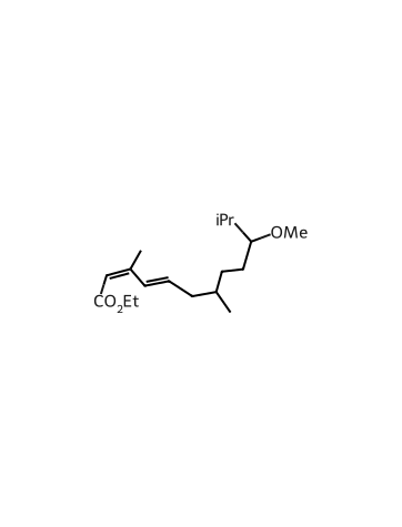 CCOC(=O)C=C(C)C=CCC(C)CCC(OC)C(C)C